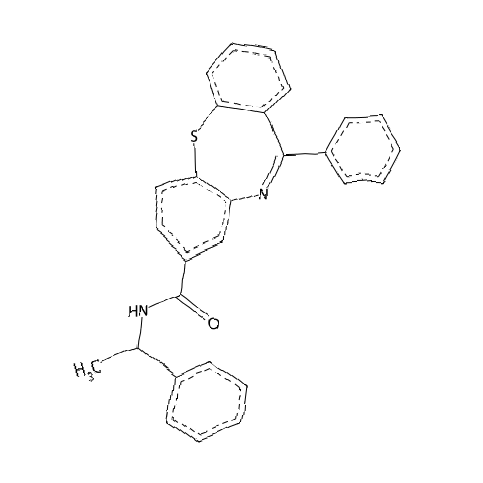 CC(NC(=O)c1ccc2c(c1)N=C(c1ccccc1)c1ccccc1S2)c1ccccc1